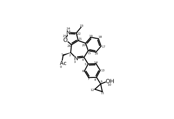 CC(=O)C[C@@H]1N=C(c2ccc(C3(O)CC3)cc2)c2ccccc2-c2c(C)noc21